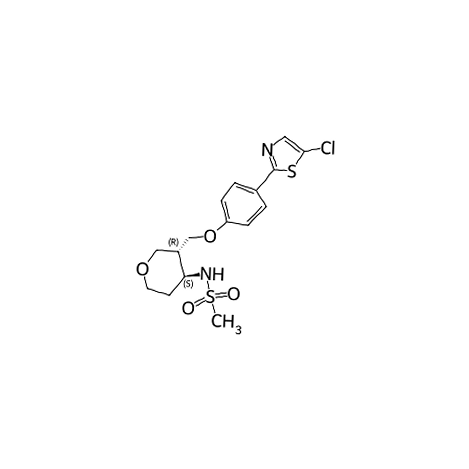 CS(=O)(=O)N[C@H]1CCOC[C@@H]1COc1ccc(-c2ncc(Cl)s2)cc1